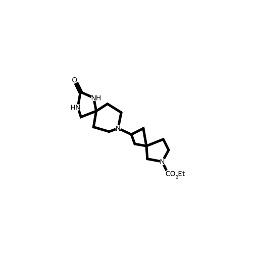 CCOC(=O)N1CCC2(CC(N3CCC4(CC3)CNC(=O)N4)C2)C1